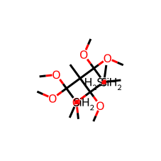 COC(OC)([SiH2]C)C(C)(C(OC)(OC)[SiH2]C)C(OC)(OC)[SiH2]C